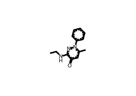 CCNc1nn(-c2ccccc2)c(C)cc1=O